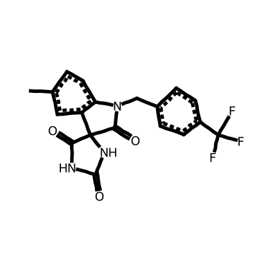 Cc1ccc2c(c1)C1(NC(=O)NC1=O)C(=O)N2Cc1ccc(C(F)(F)F)cc1